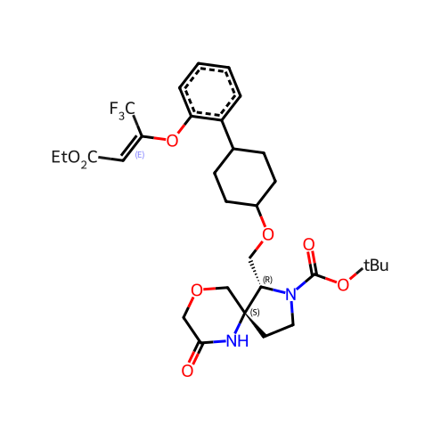 CCOC(=O)/C=C(/Oc1ccccc1C1CCC(OC[C@@H]2N(C(=O)OC(C)(C)C)CC[C@@]23COCC(=O)N3)CC1)C(F)(F)F